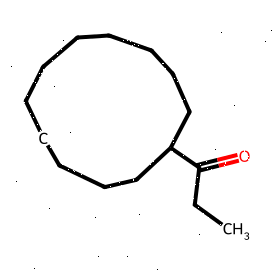 CCC(=O)C1CCCCCCCCCCC1